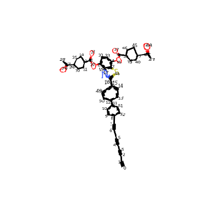 C#CC#CC#CC#Cc1ccc(-c2ccc(-c3nc4c(OC(=O)C5CCC(C(C)=O)CC5)ccc(OC(=O)C5CCC(C(C)=O)CC5)c4s3)cc2)cc1